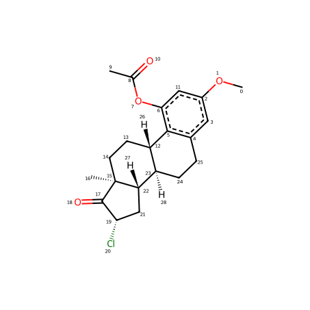 COc1cc2c(c(OC(C)=O)c1)[C@H]1CC[C@]3(C)C(=O)[C@@H](Cl)C[C@H]3[C@@H]1CC2